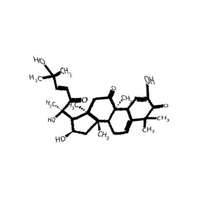 CC(C)(O)/C=C/C(=O)[C@](C)(O)C1[C@H](O)C[C@@]2(C)C3CC=C4C(C=C(O)C(=O)C4(C)C)[C@]3(C)C(=O)C[C@]12C